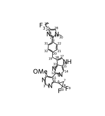 COc1ncnc(C2CC2(F)F)c1-c1ncc2[nH]cc(Cc3ccc(-c4nc(C(F)(F)F)cn4C)cc3)c2n1